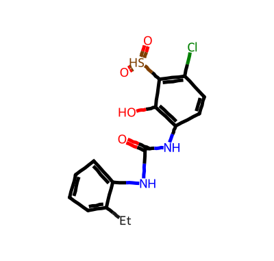 CCc1ccccc1NC(=O)Nc1ccc(Cl)c([SH](=O)=O)c1O